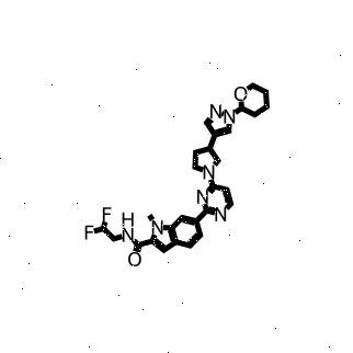 Cn1c(C(=O)NCC(F)F)cc2ccc(-c3nccc(N4CCC(c5cnn(C6CCCCO6)c5)C4)n3)cc21